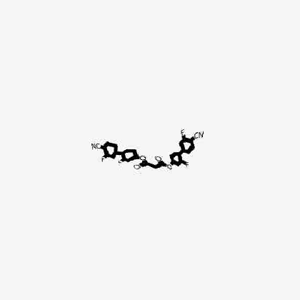 N#Cc1ccc(-c2ccc(OC(=O)CC(=O)Oc3ccc(-c4ccc(C#N)c(F)c4)c(F)c3)cc2F)cc1F